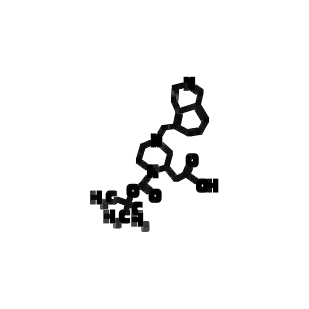 CC(C)(C)OC(=O)N1CCN(Cc2cccc3cnccc23)CC1CC(=O)O